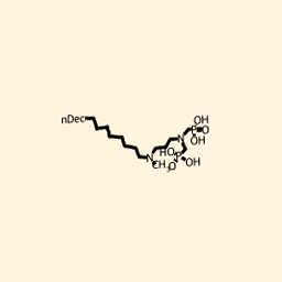 CCCCCCCCCCCCCCCCCCN(C)CCCN(CP(=O)(O)O)CP(=O)(O)O